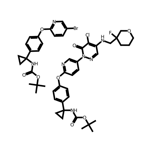 CC(C)(C)OC(=O)NC1(c2ccc(Oc3ccc(-n4ncc(NCC5(F)CCCOC5)c(Cl)c4=O)cn3)cc2)CC1.CC(C)(C)OC(=O)NC1(c2ccc(Oc3ccc(Br)cn3)cc2)CC1